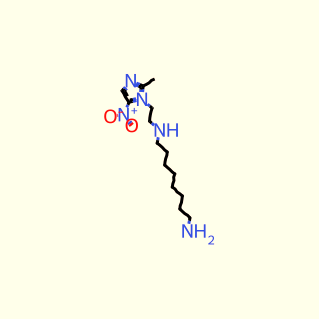 Cc1ncc([N+](=O)[O-])n1CCNCCCCCCCCN